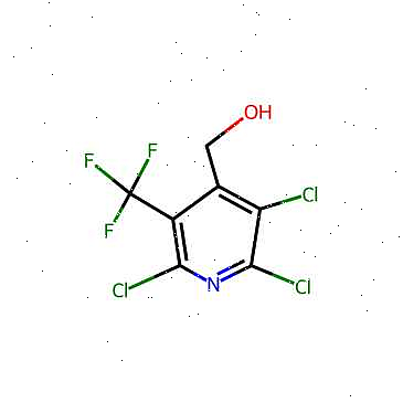 OCc1c(Cl)c(Cl)nc(Cl)c1C(F)(F)F